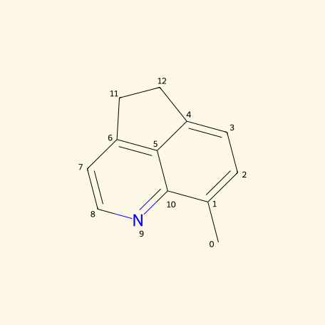 Cc1ccc2c3c(ccnc13)CC2